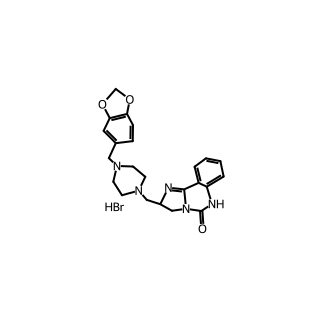 Br.O=C1Nc2ccccc2C2=NC(CN3CCN(Cc4ccc5c(c4)OCO5)CC3)CN12